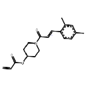 C=CC(=O)OC1CCN(C(=O)/C=C/c2ccc(C)cc2C)CC1